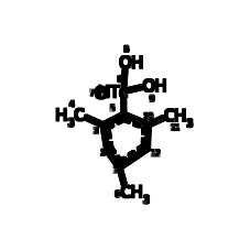 Cc1cc(C)c([TeH](=O)(O)O)c(C)c1